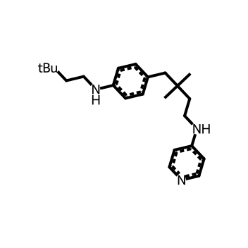 CC(C)(C)CCNc1ccc(CC(C)(C)CCNc2ccncc2)cc1